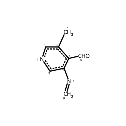 C=Nc1cncc(C)c1C=O